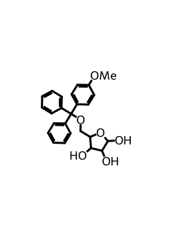 COc1ccc(C(OCC2OC(O)C(O)C2O)(c2ccccc2)c2ccccc2)cc1